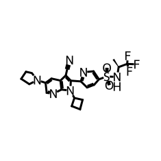 C[C@H](NS(=O)(=O)c1ccc(-c2c(C#N)c3cc(N4CCCC4)cnc3n2C2CCC2)nc1)C(F)(F)F